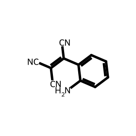 N#CC(C#N)=C(C#N)c1ccccc1N